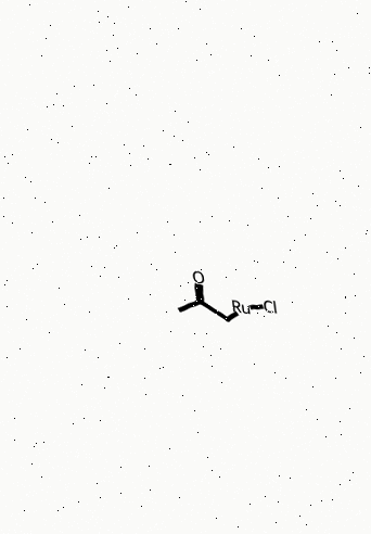 CC(=O)[CH2][Ru][Cl]